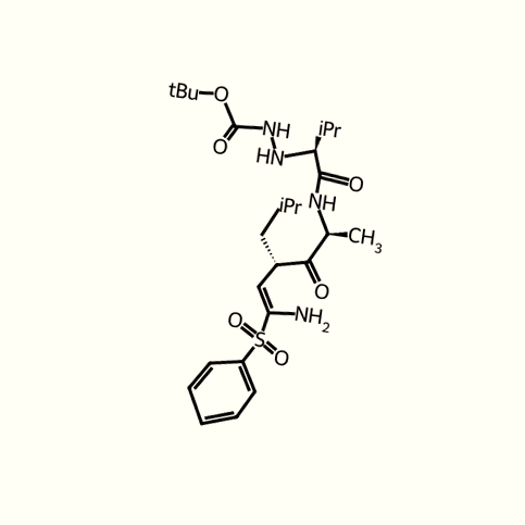 CC(C)C[C@@H](C=C(N)S(=O)(=O)c1ccccc1)C(=O)[C@H](C)NC(=O)[C@@H](NNC(=O)OC(C)(C)C)C(C)C